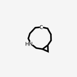 C1CCCNCC2CC2CCC1